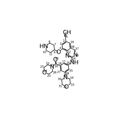 C#Cc1cc(OC2CCNCC2)c2nc(Nc3cc(C(=O)N4CCOCC4)cc(N4CCOCC4)c3)ncc2c1